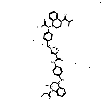 CCC(=O)N1c2ccccc2[C@H](Nc2ccc(NC(=O)c3cn(Cc4ccc(N(C(=O)O)[C@@H]5CCN(C(=O)C(C)C)c6ccccc65)cc4)nn3)cc2)C[C@@H]1C